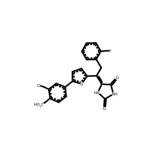 O=C1NC(=O)C(=C(Cc2ccccc2F)c2ccc(-c3ccc(C(=O)O)c(Cl)c3)o2)N1